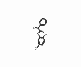 O=C(Nc1cc(Cl)ccc1O)C(Cl)c1ccccc1